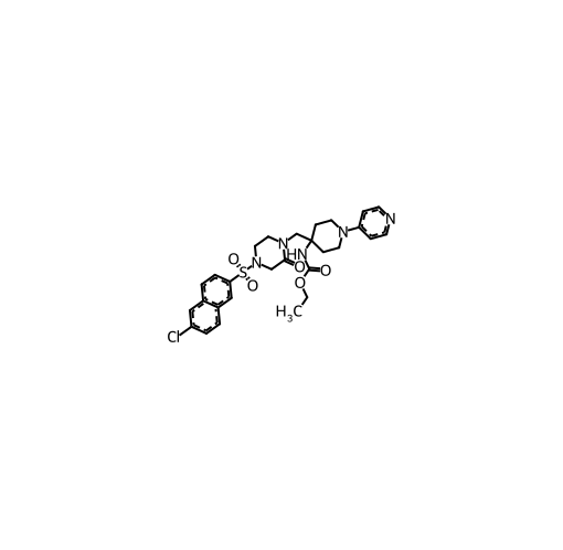 CCOC(=O)NC1(CN2CCN(S(=O)(=O)c3ccc4cc(Cl)ccc4c3)CC2=O)CCN(c2ccncc2)CC1